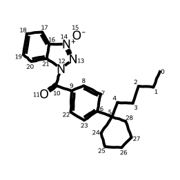 CCCCCC1(c2ccc(C(=O)n3n[n+]([O-])c4ccccc43)cc2)CCCCC1